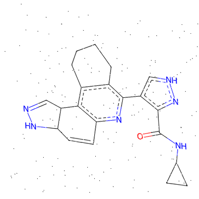 O=C(NC1CC1)c1n[nH]cc1-c1nc2c(c3c1CCCC3)C1C=NNC1C=C2